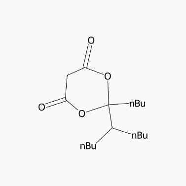 CCCCC(CCCC)C1(CCCC)OC(=O)CC(=O)O1